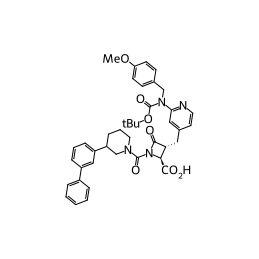 COc1ccc(CN(C(=O)OC(C)(C)C)c2cc(C[C@H]3C(=O)N(C(=O)N4CCCC(c5cccc(-c6ccccc6)c5)C4)[C@@H]3C(=O)O)ccn2)cc1